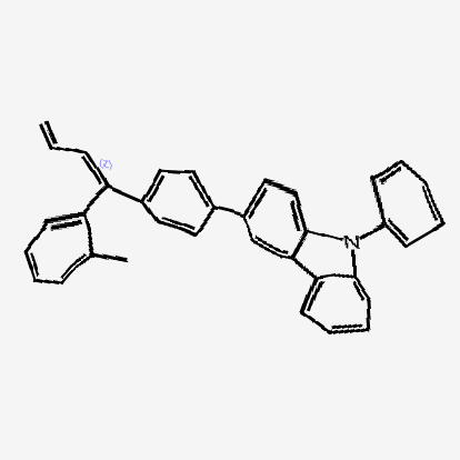 C=C/C=C(/c1ccc(-c2ccc3c(c2)c2ccccc2n3-c2ccccc2)cc1)c1ccccc1C